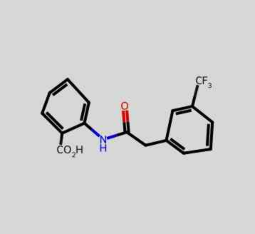 O=C(Cc1cccc(C(F)(F)F)c1)Nc1ccccc1C(=O)O